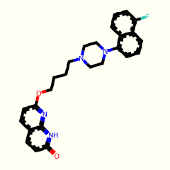 O=c1ccc2ccc(OCCCCN3CCN(c4cccc5c(F)cccc45)CC3)nc2[nH]1